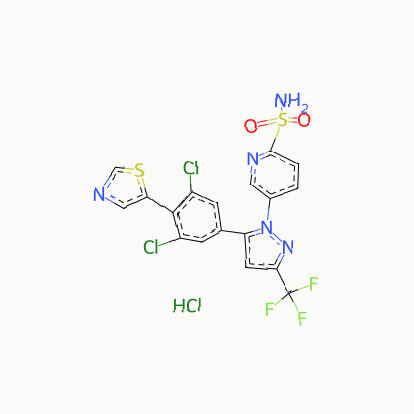 Cl.NS(=O)(=O)c1ccc(-n2nc(C(F)(F)F)cc2-c2cc(Cl)c(-c3cncs3)c(Cl)c2)cn1